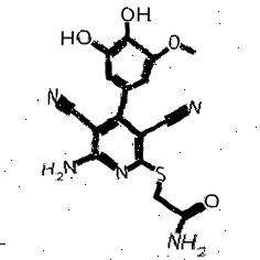 COc1cc(-c2c(C#N)c(N)nc(SCC(N)=O)c2C#N)cc(O)c1O